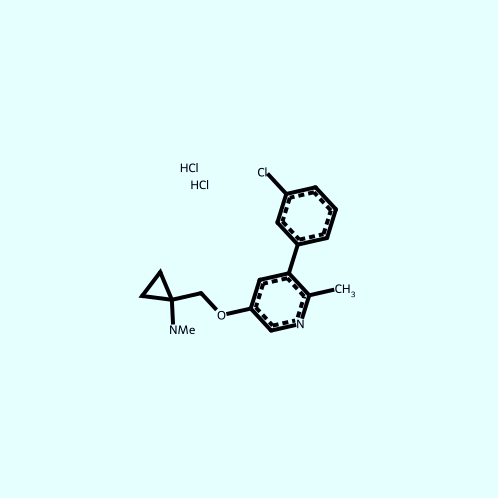 CNC1(COc2cnc(C)c(-c3cccc(Cl)c3)c2)CC1.Cl.Cl